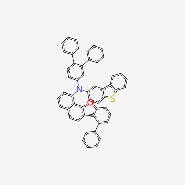 c1ccc(-c2ccc(N(c3ccc4sc5ccccc5c4c3)c3cccc4ccc5c(oc6cccc(-c7ccccc7)c65)c34)cc2-c2ccccc2)cc1